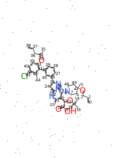 C=CCOC1(C)CCN(c2c(C(OC(C)(C)C)C(=O)O)c(C)nc3cc(-c4cccc(-c5c(OC(C)CC=C)ccc(Cl)c5C)c4)nn23)CC1